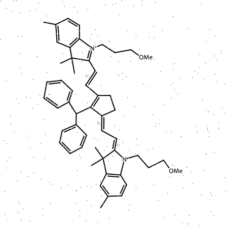 COCCCN1/C(=C/C=C2\CCC(/C=C/C3=[N+](CCCOC)c4ccc(C)cc4C3(C)C)=C2C(c2ccccc2)c2ccccc2)C(C)(C)c2cc(C)ccc21